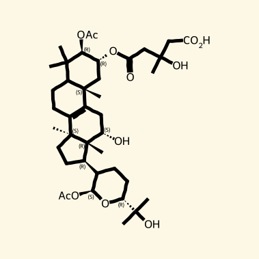 CC(=O)O[C@@H]1O[C@@H](C(C)(C)O)CCC1[C@H]1CC[C@@]2(C)C3=C(C[C@H](O)[C@]12C)[C@@]1(C)C[C@@H](OC(=O)CC(C)(O)CC(=O)O)[C@H](OC(C)=O)C(C)(C)C1CC3